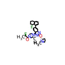 CC(F)C(=O)N1CCN(c2nc(OC[C@@H]3CCCN3C)nc3cc(-c4cccc5c4CCCC5)c(F)cc23)[C@@H](C)C1